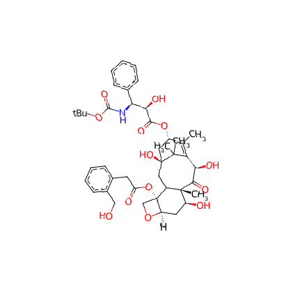 CC1=C2[C@@H](O)C(=O)[C@@]3(C)C(C[C@](O)(C[C@@H]1OC(=O)[C@H](O)[C@@H](NC(=O)OC(C)(C)C)c1ccccc1)C2(C)C)[C@]1(OC(=O)Cc2ccccc2CO)CO[C@@H]1C[C@@H]3O